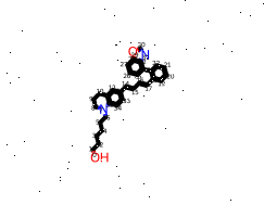 OCCCCCCN1CCCc2cc(C=CC=Cc3ccccc3-c3cccc4ocnc34)ccc21